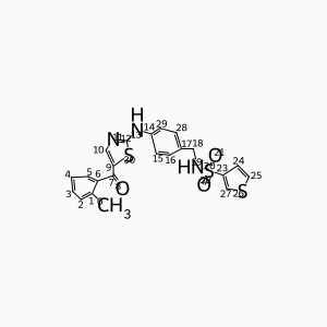 Cc1ccccc1C(=O)c1cnc(Nc2ccc(CNS(=O)(=O)c3ccsc3)cc2)s1